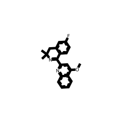 COc1cc(C2=NC(C)(C)Cc3cc(F)ccc32)nc2ccccc12